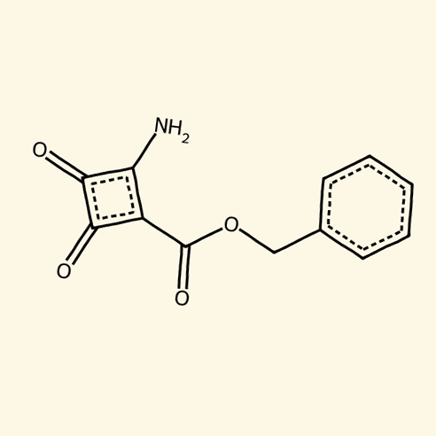 Nc1c(C(=O)OCc2ccccc2)c(=O)c1=O